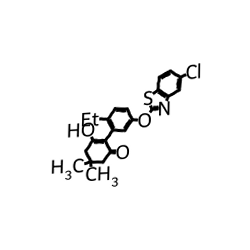 CCc1ccc(Oc2nc3cc(Cl)ccc3s2)cc1C1=C(O)CC(C)(C)CC1=O